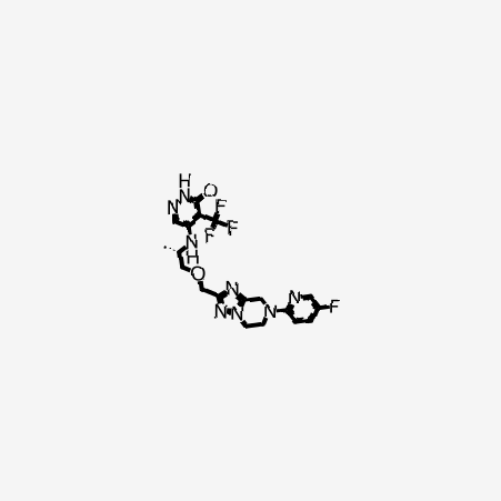 C[C@@H](COCc1nc2n(n1)CCN(c1ccc(F)cn1)C2)Nc1cn[nH]c(=O)c1C(F)(F)F